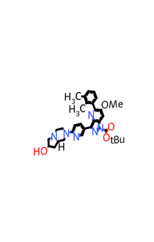 COc1cc2c(nc1-c1cccc(C)c1C)c(-c1ccc(N3CCN4C[C@H](O)C[C@H]4C3)nc1)nn2C(=O)OC(C)(C)C